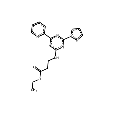 CCOC(=O)CCNc1nc(-c2ccccn2)nc(-n2cccn2)n1